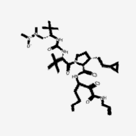 C=CCNC(=O)C(=O)C(CCCC)NC(=O)[C@@H]1[C@@H](CCC2CC2)CCN1C(=O)[C@@H](NC(=O)N[C@H](CN(C)[S+](C)[O-])C(C)(C)C)C(C)(C)C